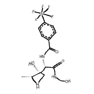 C[C@H]1NC[C@]1(O)[C@H](NC(=O)c1ccc(S(F)(F)(F)(F)F)cc1)C(=O)NO